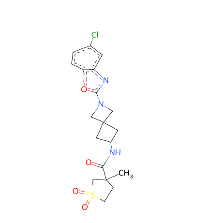 CC1(C(=O)NC2CC3(C2)CN(c2nc4cc(Cl)ccc4o2)C3)CCS(=O)(=O)C1